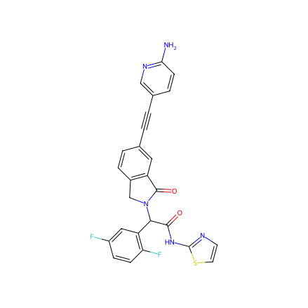 Nc1ccc(C#Cc2ccc3c(c2)C(=O)N(C(C(=O)Nc2nccs2)c2cc(F)ccc2F)C3)cn1